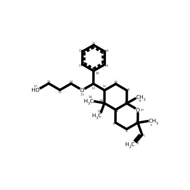 C=CC1(C)CCC2C(C)(CCC(C(OCCCO)c3ccccc3)C2(C)C)O1